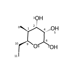 C[C@H]1[C@H](O)[C@H](O)C(O)O[C@H]1CI